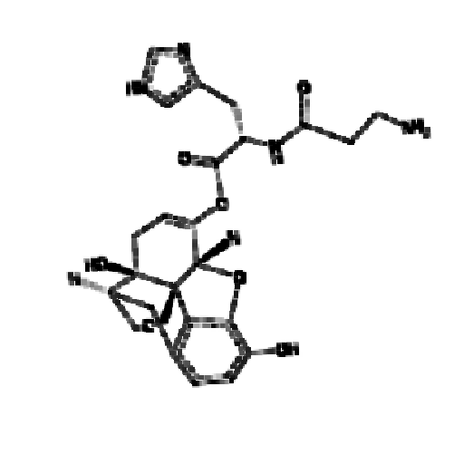 NCCC(=O)N[C@@H](Cc1c[nH]cn1)C(=O)OC1=CC[C@@]2(O)[C@@H]3CCC[C@@]24c2c(ccc(O)c2O[C@@H]14)C3